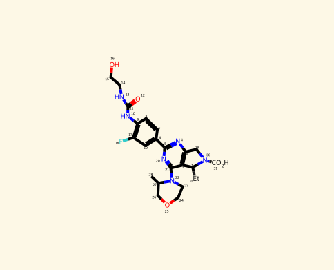 CCC1c2c(nc(-c3ccc(NC(=O)NCCO)c(F)c3)nc2N2CCOCC2C)CN1C(=O)O